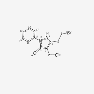 O=c1c(CCl)c(CCBr)[nH]n1-c1ccccc1